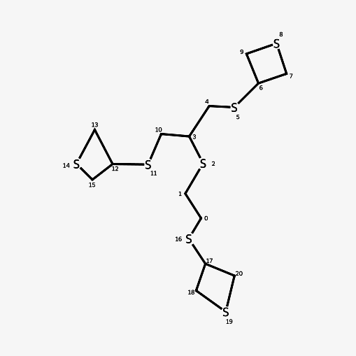 C(CSC(CSC1CSC1)CSC1CSC1)SC1CSC1